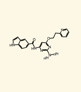 CCCN(CCC)c1nc(NC(=O)c2ccc3[nH]ccc3c2)cc(OCCc2ccccn2)n1